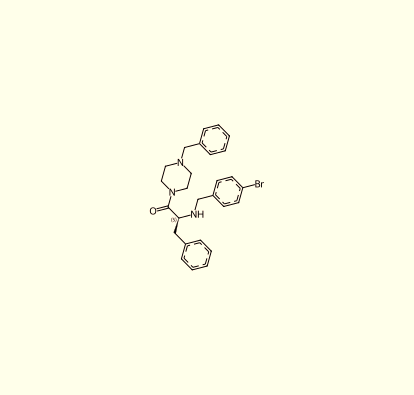 O=C([C@H](Cc1ccccc1)NCc1ccc(Br)cc1)N1CCN(Cc2ccccc2)CC1